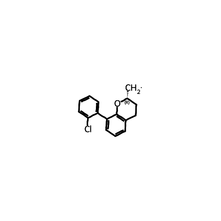 [CH2][C@@H]1CCc2cccc(-c3ccccc3Cl)c2O1